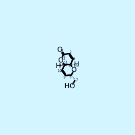 O=C1C=C[C@H]2O[C@H](CO)C=C[C@H]2O1